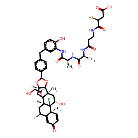 C[C@H](NC(=O)CCNC(=O)C(S)CC(=O)O)C(=O)N[C@@H](C)C(=O)Nc1cc(Cc2ccc([C@@H]3O[C@@H]4CC5[C@@H]6C[C@H](F)C7=CC(=O)C=C[C@]7(C)[C@@]6(F)[C@@H](O)C[C@]5(C)[C@]4(C(=O)CO)O3)cc2)ccc1O